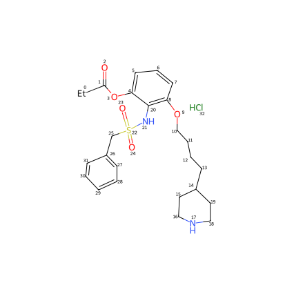 CCC(=O)Oc1cccc(OCCCCC2CCNCC2)c1NS(=O)(=O)Cc1ccccc1.Cl